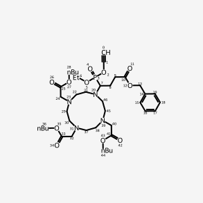 C#COP(=O)(OCC)C(CCC(=O)OCc1ccccc1)N1CCN(CC(=O)OCCCC)CCN(CC(=O)OCCCC)CCN(CC(=O)OCCCC)CC1